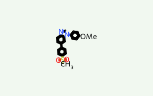 COc1ccc(-n2cnc3ccc(-c4ccc(S(C)(=O)=O)cc4)cc32)cc1